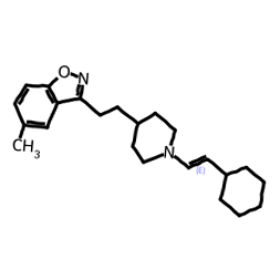 Cc1ccc2onc(CCC3CCN(/C=C/C4CCCCC4)CC3)c2c1